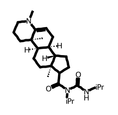 CC(C)NC(=O)N(C(=O)C1CC[C@H]2[C@@H]3CC=C4N(C)CCC[C@]4(C)[C@@H]3CC[C@]12C)C(C)C